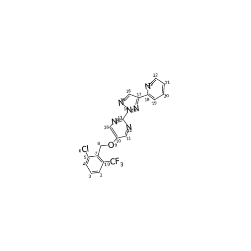 FC(F)(F)c1cccc(Cl)c1COc1cnc(-n2ncc(-c3ccccn3)n2)nc1